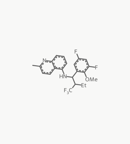 CCC(C(Nc1cccc2nc(C)ccc12)c1cc(F)cc(F)c1OC)C(F)(F)F